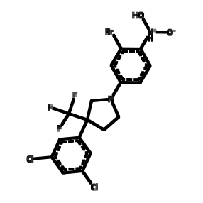 [O-][NH+](O)c1ccc(N2CCC(c3cc(Cl)cc(Cl)c3)(C(F)(F)F)C2)cc1Br